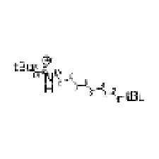 CC(C)(C)CCCCCCCCCCNC(=O)CC(C)(C)C